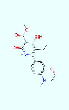 CCc1c(-c2ccc3c(c2)OCCN3C)[nH]c(=O)c(C(=O)OC)c1O